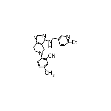 CCc1ccc(CNc2ncnc3c2CN(c2ccc(C)cc2C#N)CC3)cn1